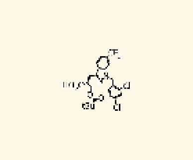 CC(C)(C)C(=O)OCC(=Cc1nn(Cc2ccc(Cl)cc2Cl)c2cc(C(F)(F)F)ccc12)C(=O)O